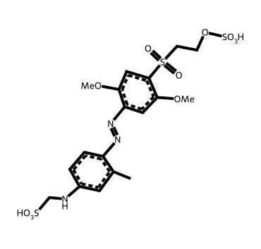 COc1cc(S(=O)(=O)CCOS(=O)(=O)O)c(OC)cc1/N=N/c1ccc(NCS(=O)(=O)O)cc1C